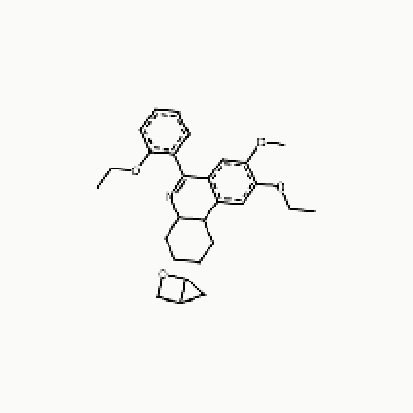 C1OC2CC12.CCOc1cc2c(cc1OC)C(c1ccccc1OCC)=NC1CCCCC21